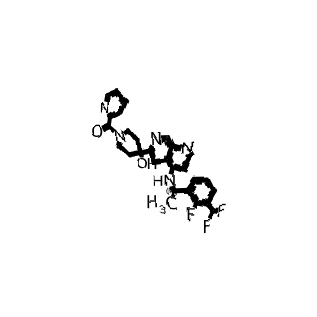 C[C@@H](Nc1ccnc2cnc(C3(O)CCN(C(=O)c4ccccn4)CC3)cc12)c1cccc(C(F)F)c1F